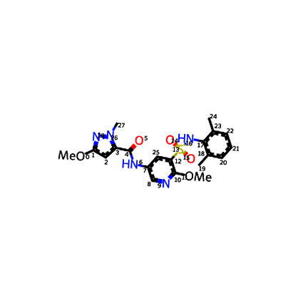 COc1cc(C(=O)Nc2cnc(OC)c(S(=O)(=O)Nc3c(C)cccc3C)c2)n(C)n1